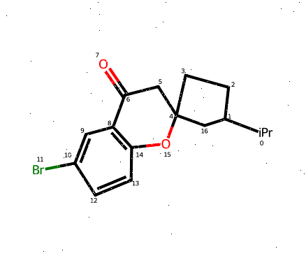 CC(C)C1CCC2(CC(=O)c3cc(Br)ccc3O2)C1